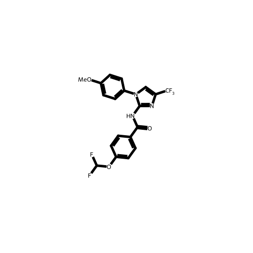 COc1ccc(-n2cc(C(F)(F)F)nc2NC(=O)c2ccc(OC(F)F)cc2)cc1